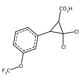 O=C(O)C1C(c2cccc(OC(F)(F)F)c2)C1(Cl)Cl